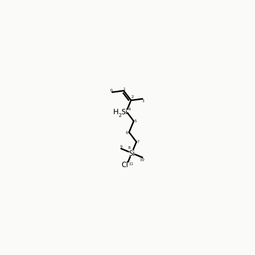 CC=C(C)[SiH2]CCC[Si](C)(C)Cl